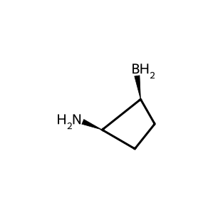 B[C@H]1CC[C@H]1N